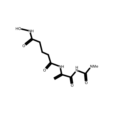 C=C(NC(=O)CCCC(=O)NO)C(=O)NC(=O)NC